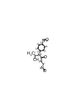 CC(C)N(C(=O)CCN=O)c1ccc(N=O)cc1